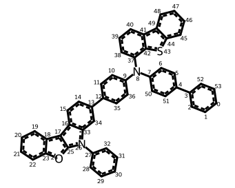 c1ccc(-c2ccc(N(c3ccc(-c4ccc5c6c7ccccc7oc6n(-c6ccccc6)c5c4)cc3)c3cccc4c3sc3ccccc34)cc2)cc1